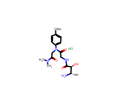 CCC[C@H](N)[C@H](O)C(=O)NCC(=O)N(CC(=O)N(C)C)c1ccc(OC)cc1.Cl